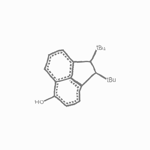 CC(C)(C)C1c2cccc3c(O)ccc(c23)C1C(C)(C)C